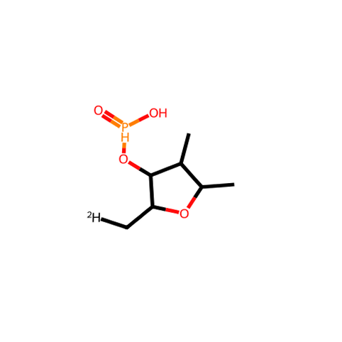 [2H]CC1OC(C)C(C)C1O[PH](=O)O